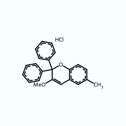 COC1=Cc2cc(C)ccc2OC1(c1ccccc1)c1ccccc1.Cl